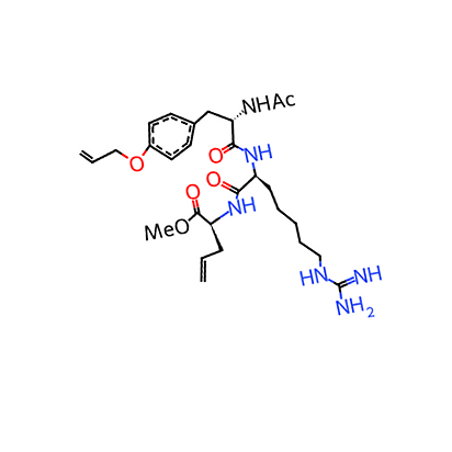 C=CCOc1ccc(C[C@H](NC(C)=O)C(=O)N[C@@H](CCCCCNC(=N)N)C(=O)N[C@@H](CC=C)C(=O)OC)cc1